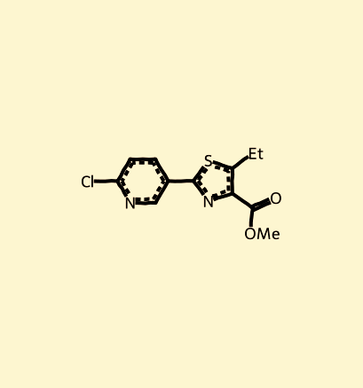 CCc1sc(-c2ccc(Cl)nc2)nc1C(=O)OC